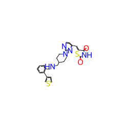 O=C1NC(=O)C(=Cc2ccnc(N3CCC(CNCc4ccccc4-c4ccsc4)CC3)n2)S1